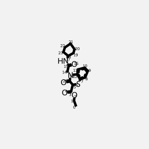 CCOC(=O)C1Sc2ccccc2N(CC(=O)NC2CCCCC2)C1=O